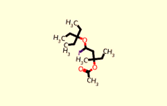 CCC(C)(CC(I)OC(CC)(CC)CC)OC(C)=O